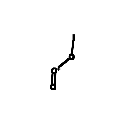 O=[O+]OI